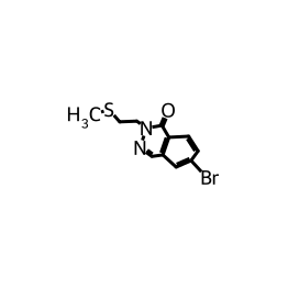 CSCCn1ncc2cc(Br)ccc2c1=O